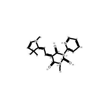 CN1C=CC(C)(C)C1=CC=C1C(=O)N(C)C(=O)N(c2ccccn2)C1=O